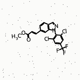 COC(=O)/C=C/c1ccc2cnn(-c3c(Cl)cc(C(F)(F)F)cc3Cl)c2c1